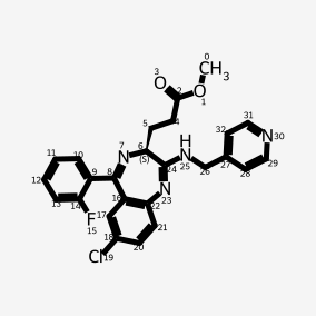 COC(=O)CC[C@@H]1N=C(c2ccccc2F)c2cc(Cl)ccc2N=C1NCc1ccncc1